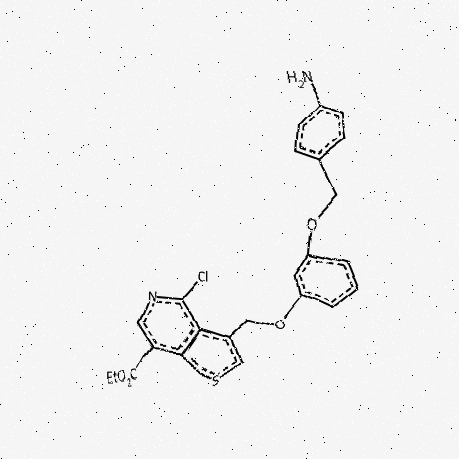 CCOC(=O)c1cnc(Cl)c2c(COc3cccc(OCc4ccc(N)cc4)c3)csc12